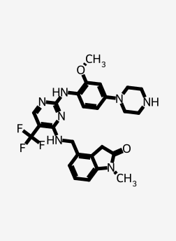 COc1cc(N2CCNCC2)ccc1Nc1ncc(C(F)(F)F)c(NCc2cccc3c2CC(=O)N3C)n1